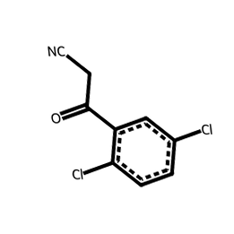 N#CCC(=O)c1cc(Cl)ccc1Cl